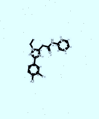 CCn1nc(-c2ccc(Cl)c(F)c2)nc1CC(=O)Nc1cnccn1